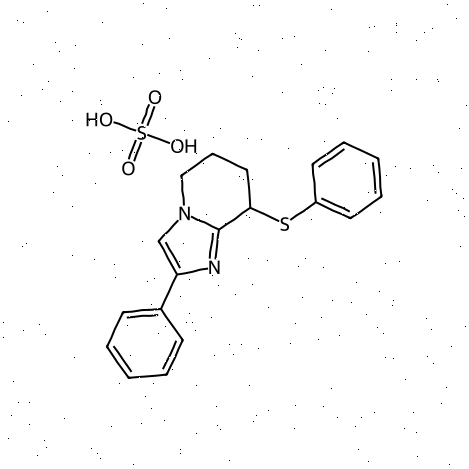 O=S(=O)(O)O.c1ccc(SC2CCCn3cc(-c4ccccc4)nc32)cc1